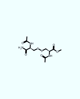 COC(=O)[C@H](CSSC[C@H](NC(C)=O)C(N)=O)NC(C)=O